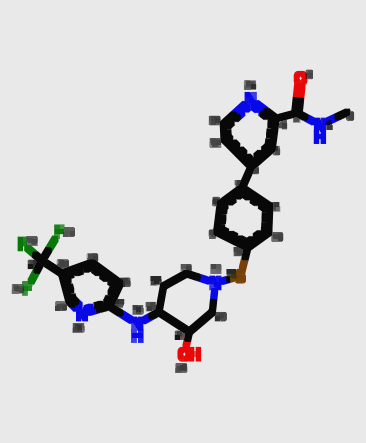 CNC(=O)c1cc(-c2ccc(SN3CCC(Nc4ccc(C(F)(F)F)cn4)C(O)C3)cc2)ccn1